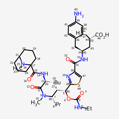 CCNC(=O)O[C@H](C[C@H](C(C)C)N(C)C(=O)[C@@H](NC(=O)C12CCCC(CCC1)N2C)[C@@H](C)CC)c1nc(C(=O)N[C@@H](Cc2ccc(N)cc2)C[C@H](C)C(=O)O)cs1